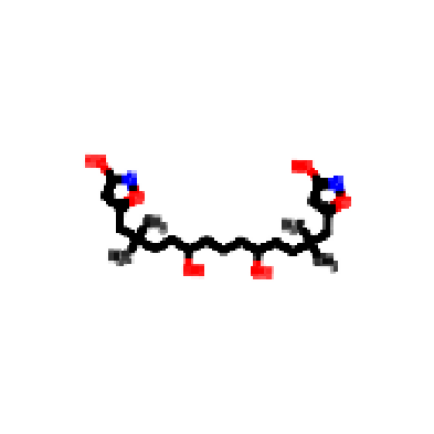 CC(C)(CCC(O)CCCC(O)CCC(C)(C)Cc1cc(O)no1)Cc1cc(O)no1